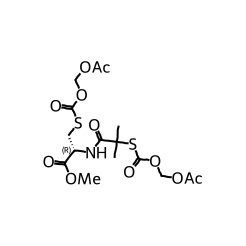 COC(=O)[C@H](CSC(=O)OCOC(C)=O)NC(=O)C(C)(C)SC(=O)OCOC(C)=O